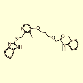 Cc1ccccc1NC(=O)COCCCOc1ccnc(CSc2nc3ccccc3[nH]2)c1C